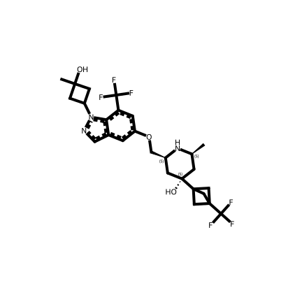 C[C@H]1C[C@@](O)(C23CC(C(F)(F)F)(C2)C3)C[C@@H](COc2cc(C(F)(F)F)c3c(cnn3C3CC(C)(O)C3)c2)N1